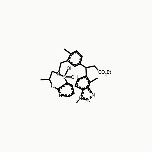 CCOC(=O)CC(c1ccc(C)c(CN2CC(C)Oc3ncccc3S2(O)O)c1)c1ccc2c(nnn2C)c1C